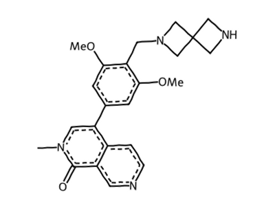 COc1cc(-c2cn(C)c(=O)c3cnccc23)cc(OC)c1CN1CC2(CNC2)C1